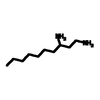 CCCCCCCC(N)CCN